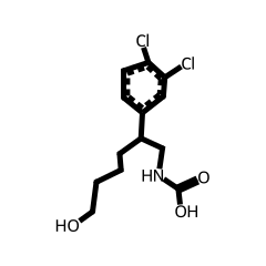 O=C(O)NCC(CCCCO)c1ccc(Cl)c(Cl)c1